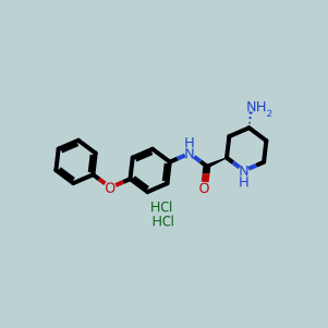 Cl.Cl.N[C@@H]1CCN[C@@H](C(=O)Nc2ccc(Oc3ccccc3)cc2)C1